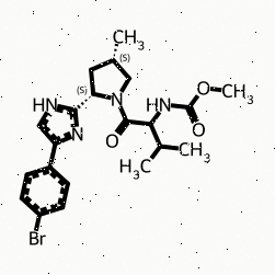 COC(=O)NC(C(=O)N1C[C@@H](C)C[C@H]1c1nc(-c2ccc(Br)cc2)c[nH]1)C(C)C